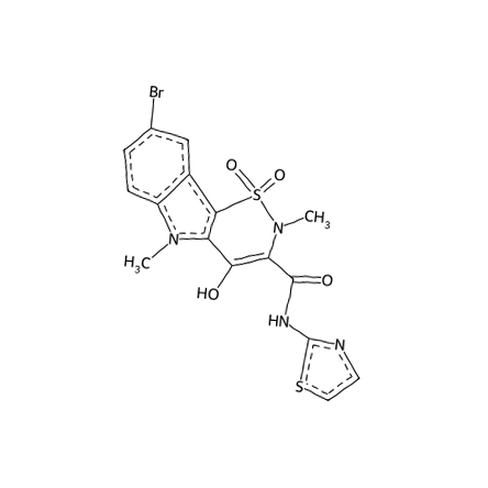 CN1C(C(=O)Nc2nccs2)=C(O)c2c(c3cc(Br)ccc3n2C)S1(=O)=O